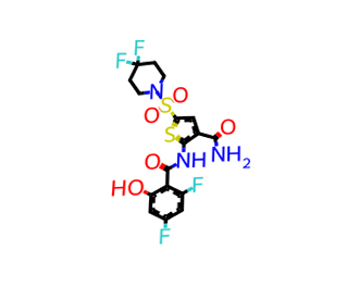 NC(=O)c1cc(S(=O)(=O)N2CCC(F)(F)CC2)sc1NC(=O)c1c(O)cc(F)cc1F